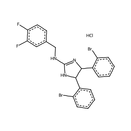 Cl.Fc1ccc(CNC2=NC(c3ccccc3Br)C(c3ccccc3Br)N2)cc1F